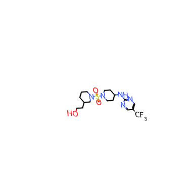 O=S(=O)(N1CCC(Nc2ncc(C(F)(F)F)cn2)CC1)N1CCCC(CCO)C1